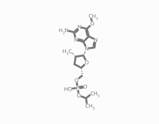 COc1nc(N)nc2c1ncn2[C@@H]1O[C@H](COP(=O)(O)OC(C)C)C[C@@H]1C